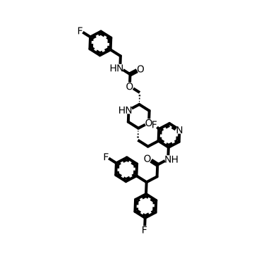 O=C(CC(c1ccc(F)cc1)c1ccc(F)cc1)Nc1cncc(F)c1CC[C@@H]1CN[C@H](COC(=O)NCc2ccc(F)cc2)CO1